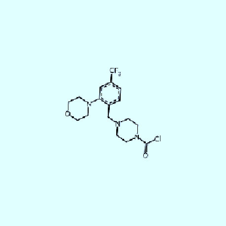 O=C(Cl)N1CCN(Cc2ccc(C(F)(F)F)cc2N2CCOCC2)CC1